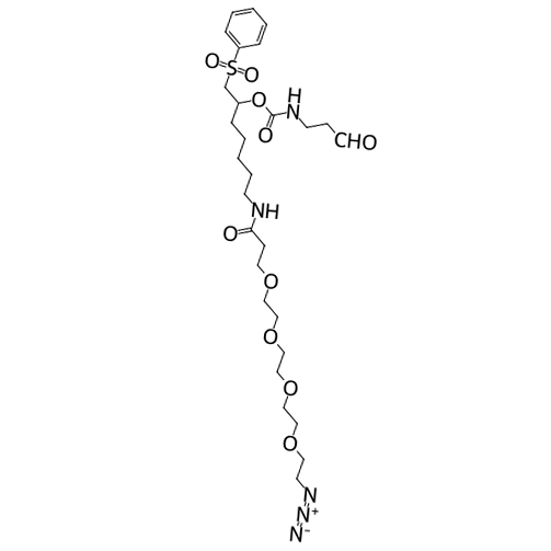 [N-]=[N+]=NCCOCCOCCOCCOCCC(=O)NCCCCCC(CS(=O)(=O)c1ccccc1)OC(=O)NCCC=O